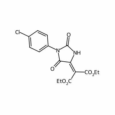 CCOC(=O)C(C(=O)OCC)=C1NC(=O)N(c2ccc(Cl)cc2)C1=O